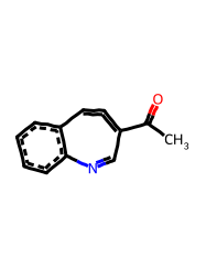 CC(=O)C1=C=Cc2ccccc2N=C1